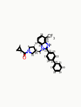 O=C(C1CC1)N1CC[C@@H](Cn2c(-c3ccc(-c4ccccc4)cc3)nc3c(C(F)(F)F)cccc32)C1